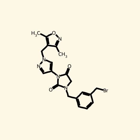 Cc1noc(C)c1Cn1cc(N2C(=O)CN(Cc3cccc(CBr)c3)C2=O)cn1